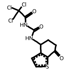 O=C(NC(=O)C(Cl)(Cl)Cl)NC1CCC(=O)c2sccc21